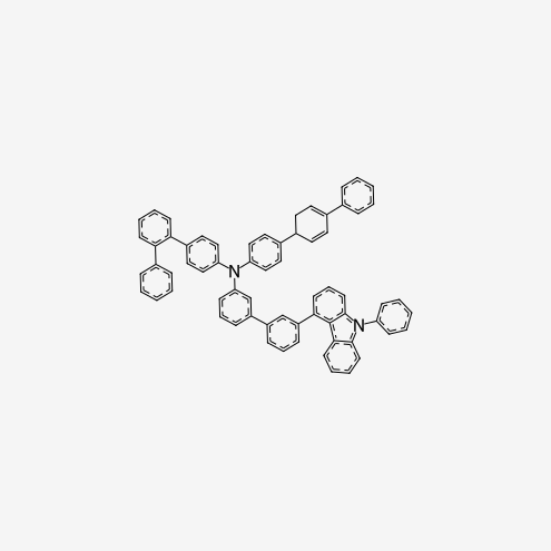 C1=CC(c2ccc(N(c3ccc(-c4ccccc4-c4ccccc4)cc3)c3cccc(-c4cccc(-c5cccc6c5c5ccccc5n6-c5ccccc5)c4)c3)cc2)CC=C1c1ccccc1